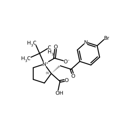 CC(C)(C)[N+]1(C(=O)[O-])CCC[C@]1(CC(=O)c1ccc(Br)nc1)C(=O)O